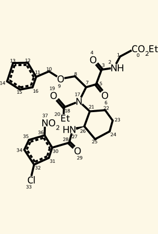 CCOC(=O)CNC(=O)C(=O)C(COCc1ccccc1)N(C(=O)CC)C1CCCC[C@H]1NC(=O)c1cc(Cl)ccc1[N+](=O)[O-]